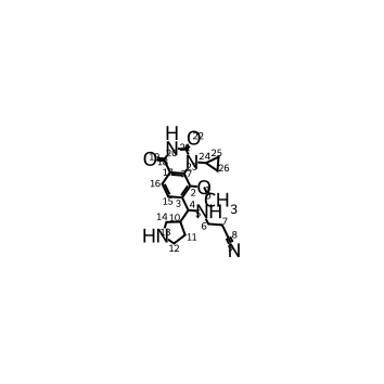 COc1c(C(NCCC#N)C2CCNC2)ccc2c(=O)[nH]c(=O)n(C3CC3)c12